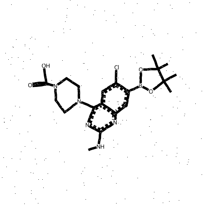 CNc1nc(N2CCN(C(=O)O)CC2)c2cc(Cl)c(B3OC(C)(C)C(C)(C)O3)cc2n1